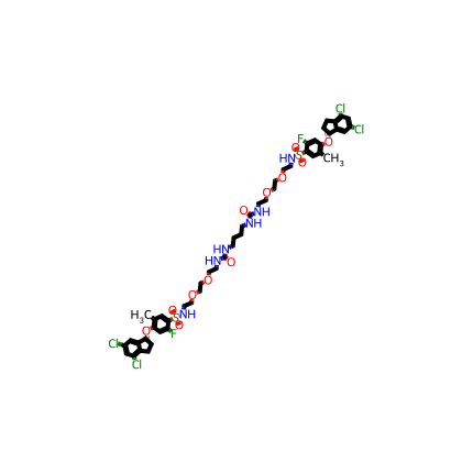 Cc1cc(S(=O)(=O)NCCOCCOCCNC(=O)NCCCCNC(=O)NCCOCCOCCNS(=O)(=O)c2cc(C)c(O[C@@H]3CCc4c(Cl)cc(Cl)cc43)cc2F)c(F)cc1O[C@@H]1CCc2c(Cl)cc(Cl)cc21